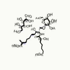 CCCCCCCCCCCCCC[C@@H](O)C(=O)N[C@@H](CO[C@@H]1O[C@H](CO)[C@@H](O)[C@H](O)[C@H]1O)[C@H](O)/C=C/CC/C=C(\C)CCCCCCCCC.O=C[C@H](O)[C@@H](O)[C@H](O)[C@H](O)CO